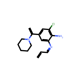 C=C/C=N\c1cc(C(=C)N2CCCCC2)cc(Cl)c1N